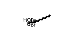 C=CCCCCCCCCC(Br)(Br)C(=O)O